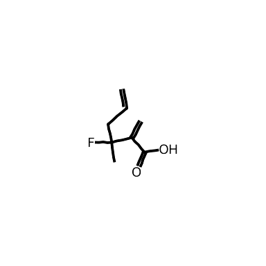 C=CCC(C)(F)C(=C)C(=O)O